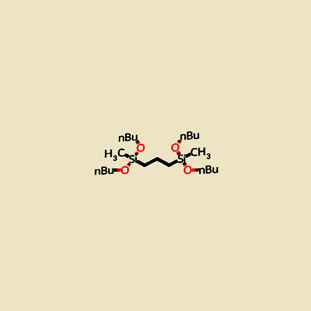 CCCCO[Si](C)(CCC[Si](C)(OCCCC)OCCCC)OCCCC